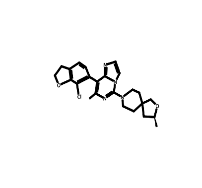 Cc1nc(N2CCC3(CC2)CO[C@@H](C)C3)n2ccnc2c1-c1ccc2c(c1Cl)OCC2